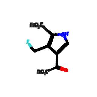 CCOC(=O)C(=O)c1c[nH]c(C(=O)OCC)c1CF